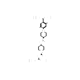 CC(C)OC(=O)N1CCC(ON=C2CCN(c3cc(F)c(C(C)O)cc3F)CC2)CC1